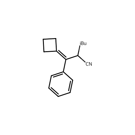 CCC(C)C(C#N)C(=C1CCC1)c1ccccc1